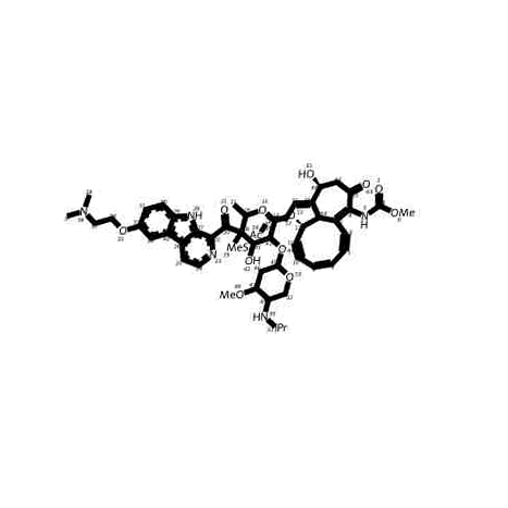 COC(=O)NC1=C2C#C/C=C\C#C[C@H](OC3OC(C)C(SC)(C(=O)c4nccc5c4[nH]c4ccc(OCCN(C)C)cc45)C(O)C3OC3CC(OC)C(NC(C)C)CO3)C2/C(=C\CSC(C)=O)[C@@H](O)CC1=O